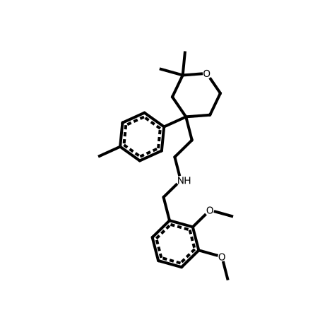 COc1cccc(CNCCC2(c3ccc(C)cc3)CCOC(C)(C)C2)c1OC